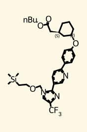 CCCCOC(=O)C[C@H]1CCC[C@@H](Oc2ccc(-c3ccc(-c4nc(C(F)(F)F)cn4COCC[Si](C)(C)C)cn3)cc2)C1